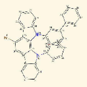 Brc1cc2c3ccccc3n(-c3ccccc3)c2c2c1c1ccccc1n2-c1cccc(-c2ccccc2)c1